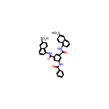 O=C(Nc1cc(C(=O)Nc2cccc3cc(S(=O)(=O)O)ccc23)cc(C(=O)Nc2cccc3cc(S(=O)(=O)O)ccc23)c1)c1ccccc1